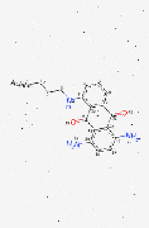 CC(=O)NCCCNc1cccc2c1C(=O)c1c(N)ccc(N)c1C2=O